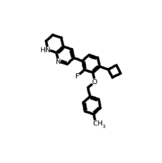 Cc1ccc(COc2c(C3CCC3)ccc(-c3cnc4c(c3)CCCN4)c2F)cc1